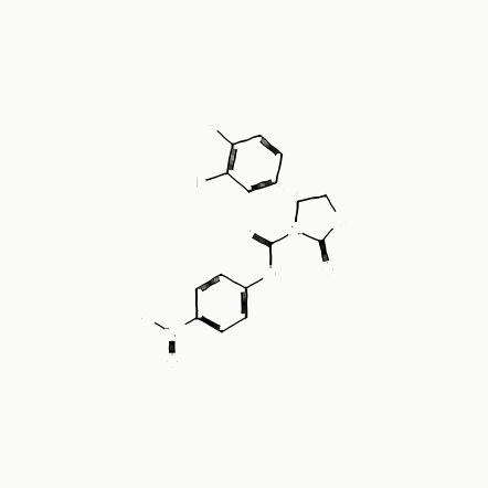 O=C1OC[C@@H](c2ccc(F)c(F)c2)N1C(=O)Oc1ccc([N+](=O)[O-])cc1